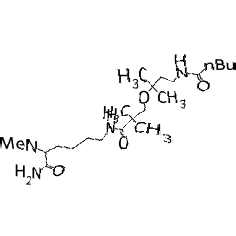 CCCCC(=O)NCCC(C)(C)OCC(C)(C)C(=O)NCCCCC(NC)C(N)=O